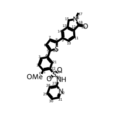 COc1ccc(-c2ccc(-c3ccc4c(c3)CN(C)C4=O)s2)cc1S(=O)(=O)Nc1ccccn1